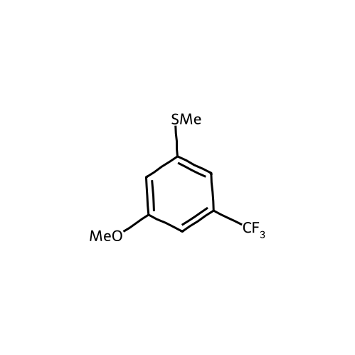 COc1cc(SC)cc(C(F)(F)F)c1